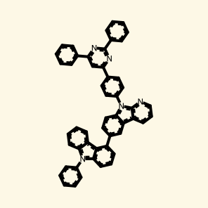 c1ccc(-c2cc(-c3ccc(-n4c5ccc(-c6cccc7c6c6ccccc6n7-c6ccccc6)cc5c5cccnc54)cc3)nc(-c3ccccc3)n2)cc1